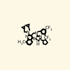 Cc1cccc2cc(CN(Cc3cc(C(F)(F)F)cc(C(F)(F)F)c3)C3=NN(C4CCCC4)NN3)c(N(CC3CC3)CC3CC3)nc12